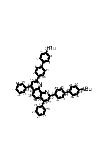 CC(C)(C)c1ccc(-c2ccc(-c3cc(-c4ccccc4)c4ccc5c(-c6ccccc6)cc(-c6ccc(-c7ccc(C(C)(C)C)cc7)cc6)nc5c4n3)cc2)cc1